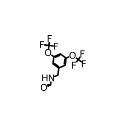 O=CNCc1cc(OC(F)(F)F)cc(OC(F)(F)F)c1